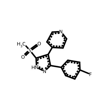 CS(=O)(=O)c1[nH]nc(-c2ccc(F)cc2)c1-c1ccncc1